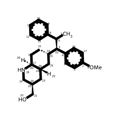 COc1ccc([C@H](C(C)c2ccccc2)[C@H]2CC[C@@H]3NC[C@H](CO)C[C@H]3C2)cc1